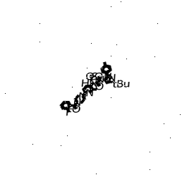 Cc1ccc(-n2nc(C(C)(C)C)cc2N(OS(C)(=O)=O)C(=O)Nc2ccc(N3CCN(C(=O)c4ccccc4F)CC3)nc2C)cc1